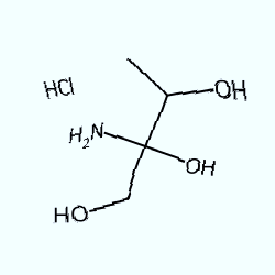 CC(O)C(N)(O)CO.Cl